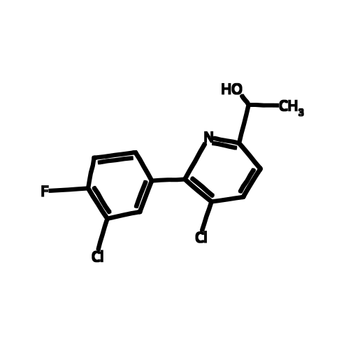 CC(O)c1ccc(Cl)c(-c2ccc(F)c(Cl)c2)n1